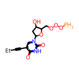 CCC#Cc1cn(C2CC(O)C(COOOP)O2)c(=O)[nH]c1=O